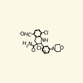 CC1(C(N)=O)Cc2c([C]=O)ccc(Cl)c2NC1c1cccc(N2CCOCC2)c1